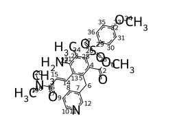 COC(=O)c1c(Cc2cccnc2)c(C=CC(=O)N(C)C)c(N)c(C)c1S(=O)(=O)c1ccc(OC)cc1